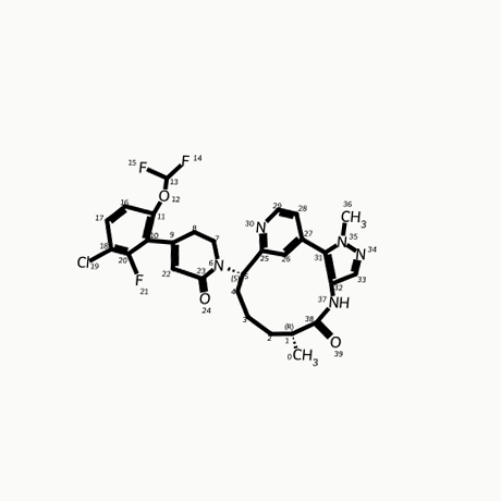 C[C@@H]1CCC[C@H](N2CCC(c3c(OC(F)F)ccc(Cl)c3F)=CC2=O)c2cc(ccn2)-c2c(cnn2C)NC1=O